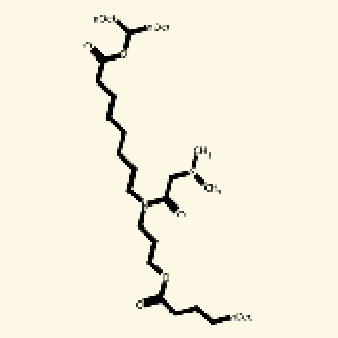 CCCCCCCCCCCCCC(=O)OCCCN(CCCCCCCC(=O)OC(CCCCCCCC)CCCCCCCC)C(=O)CN(C)C